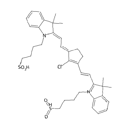 CC1(C)C(/C=C/C2=C(Cl)C(=C/C=C3\N(CCCCS(=O)(=O)O)c4ccccc4C3(C)C)/CC2)=[N+](CCCC[SH](=O)=O)c2ccccc21